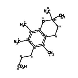 Cc1c(C)c2c(c(C)c1CCC(=O)O)CCC(C)(C)O2